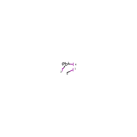 CI.[I][Pb][I]